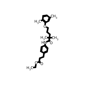 CCOC(=O)CCc1ccc(NC(=O)C(C)(C)CCCOc2cc(C)ccc2C)cc1